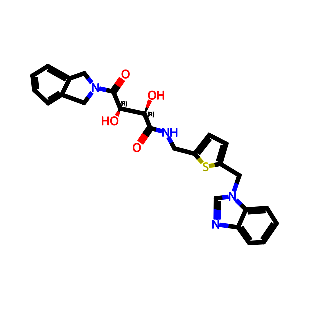 O=C(NCc1ccc(Cn2cnc3ccccc32)s1)[C@H](O)[C@@H](O)C(=O)N1Cc2ccccc2C1